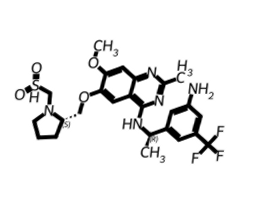 COc1cc2nc(C)nc(N[C@H](C)c3cc(N)cc(C(F)(F)F)c3)c2cc1OC[C@@H]1CCCN1C[SH](=O)=O